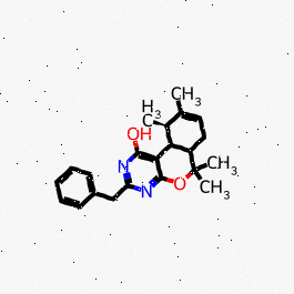 CC1=CCC2C(c3c(O)nc(Cc4ccccc4)nc3OC2(C)C)[C@H]1C